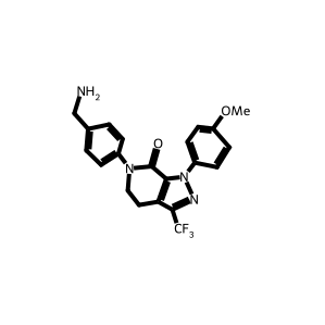 COc1ccc(-n2nc(C(F)(F)F)c3c2C(=O)N(c2ccc(CN)cc2)CC3)cc1